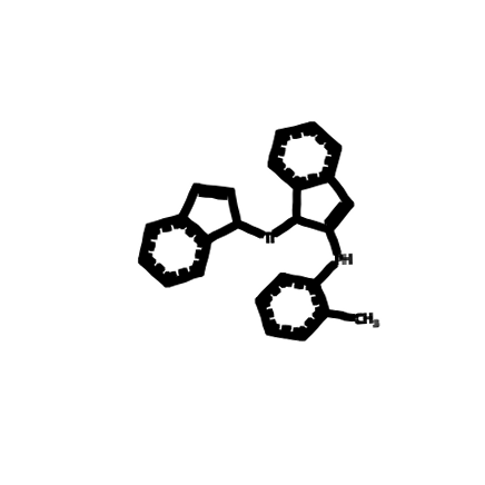 Cc1ccccc1PC1=Cc2ccccc2[CH]1[Ti][CH]1C=Cc2ccccc21